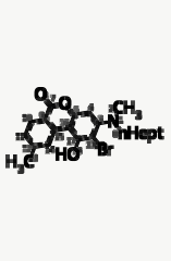 CCCCCCCN(C)c1cc2oc(=O)c3ccc(C)cc3c2c(O)c1Br